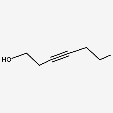 CCCC#CCCO